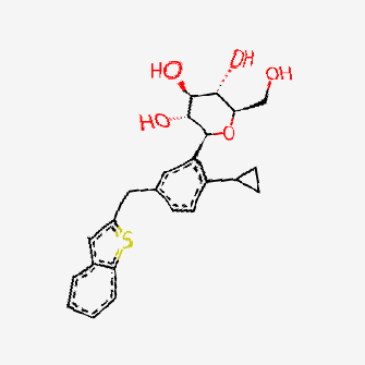 OC[C@H]1O[C@@H](c2cc(Cc3cc4ccccc4s3)ccc2C2CC2)[C@H](O)[C@@H](O)[C@@H]1O